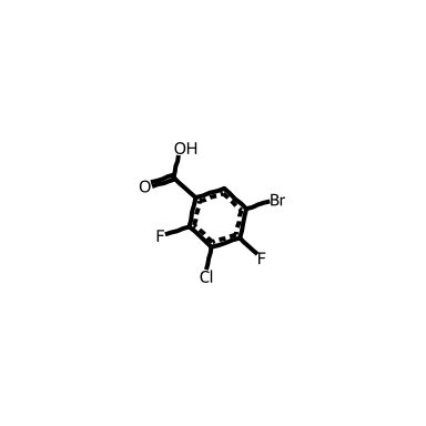 O=C(O)c1cc(Br)c(F)c(Cl)c1F